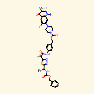 CCn1cc(C(=O)O)c(=O)c2cc(F)c(N3CCN(C(=O)OCc4ccc(NC(=O)[C@H](C)c5nnc(C(NC(=O)OCc6ccccc6)C(C)C)s5)cc4)CC3)cc21